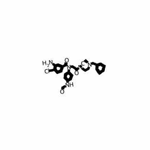 Nc1cc(C(=O)N(CC(=O)N2CCN(Cc3ccccc3)CC2)c2ccc(NC=O)cc2)ccc1Cl